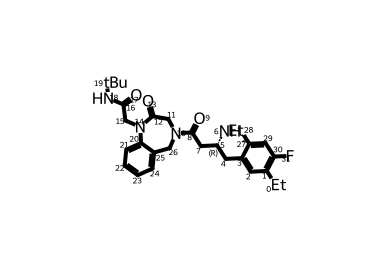 CCc1cc(C[C@@H](N)CC(=O)N2CC(=O)N(CC(=O)NC(C)(C)C)c3ccccc3C2)c(CC)cc1F